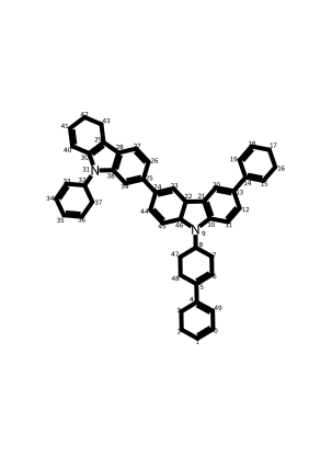 C1=CCCC(C2=CCC(N3c4ccc(C5=CCCC=C5)cc4C4C=C(c5ccc6c7c(n(C8C=CC=CC8)c6c5)C=CCC7)C=CC43)CC2)=C1